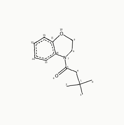 CC(C)(C)CC(=O)N1CCOc2ccccc21